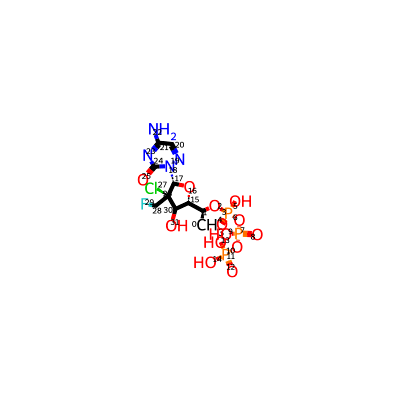 C[C@H](OP(=O)(O)OP(=O)(O)OP(=O)(O)O)[C@H]1O[C@@H](n2ncc(N)nc2=O)[C@@](Cl)(CF)C1O